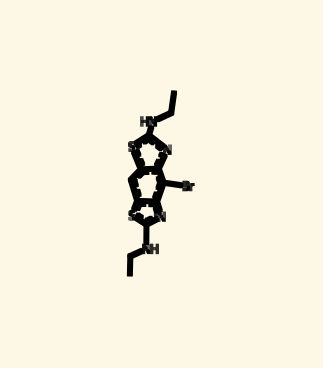 CCNc1nc2c(Br)c3nc(NCC)sc3cc2s1